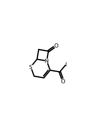 O=C(I)C1=CCSC2CC(=O)N12